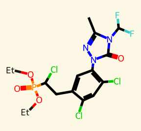 CCOP(=O)(OCC)C(Cl)Cc1cc(-n2nc(C)n(C(F)F)c2=O)c(Cl)cc1Cl